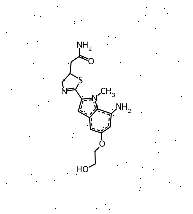 Cn1c(C2=NCC(CC(N)=O)S2)cc2cc(OCCO)cc(N)c21